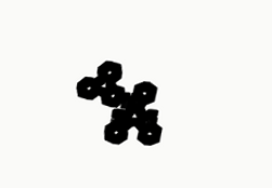 c1ccc2c(c1)sc1c2c2c3ccccc3sc2c2c1c1ccccc1n2-c1ccc2c3ccccc3c3ccccc3c2c1